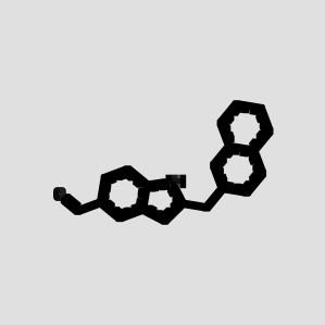 O=Cc1ccc2[nH]c(Cc3ccc4ccccc4c3)cc2c1